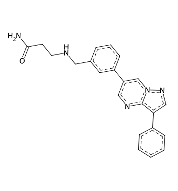 NC(=O)CCNCc1cccc(-c2cnc3c(-c4ccccc4)cnn3c2)c1